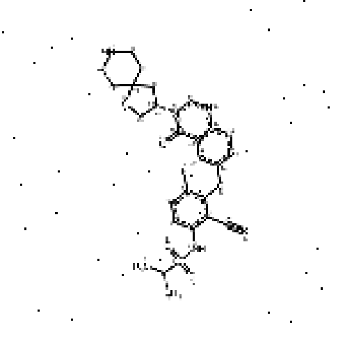 CC(C)S(=O)(=O)Nc1ccc(F)c(Oc2ccc3ncn([C@H]4COC5(CCNCC5)C4)c(=O)c3c2)c1C#N